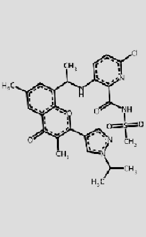 Cc1cc(C(C)Nc2ccc(Cl)nc2C(=O)NS(C)(=O)=O)c2oc(-c3cnn(C(C)C)c3)c(C)c(=O)c2c1